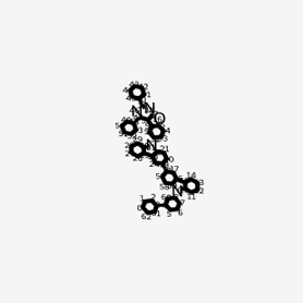 c1ccc(-c2cccc(-n3c4ccccc4c4cc(-c5ccc6c(c5)c5ccccc5n6-c5ccc6oc7nc(-c8ccccc8)nc(-c8ccccc8)c7c6c5)ccc43)c2)cc1